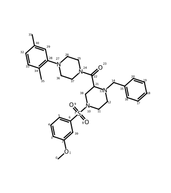 COc1cccc(S(=O)(=O)N2CCN(Cc3ccccc3)C(C(=O)N3CCN(c4cc(C)ccc4C)CC3)C2)c1